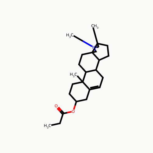 CCC(=O)OC1CCC2(C)C(=CCC3C2CCC24CN(C)C(C)C2CCC34)C1